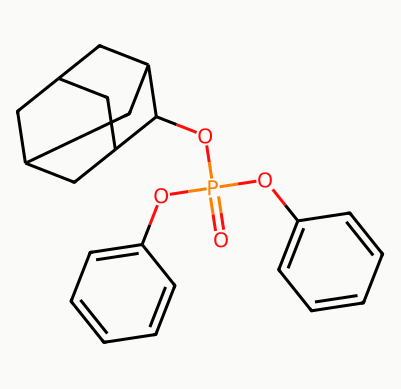 O=P(Oc1ccccc1)(Oc1ccccc1)OC1C2CC3CC(C2)CC1C3